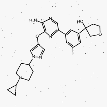 Cc1cc(-c2cnc(N)c(Oc3cnn(C4CCN(C5CC5)CC4)c3)n2)cc(C2(O)CCOC2)c1